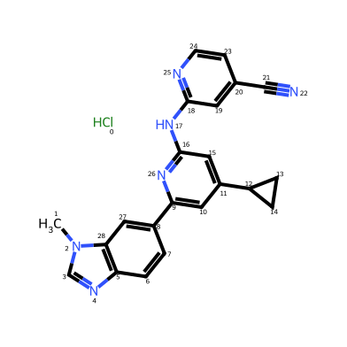 Cl.Cn1cnc2ccc(-c3cc(C4CC4)cc(Nc4cc(C#N)ccn4)n3)cc21